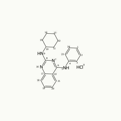 Cl.c1ccc(Nc2nc(NC3CCCCC3)nc3ccccc23)cc1